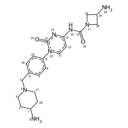 NC1CCN(Cc2ccc(-n3ccc(NC(=O)N4CC(N)C4)nc3=O)cc2)CC1